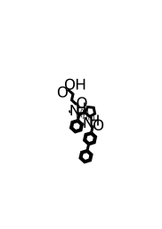 CN(C(=O)CCC(=O)O)[C@H]1c2ccccc2N(C(=O)c2ccc(-c3ccccc3)cc2)[C@@H]2CCC[C@@H]21